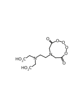 O=C(O)CN(CCN1CC(=O)OOOOC(=O)C1)CC(=O)O